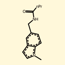 CCCC(=O)NCc1ccc2c(ccn2C)c1